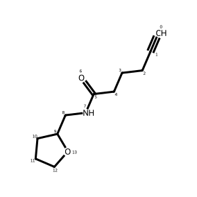 C#CCCCC(=O)NCC1CCCO1